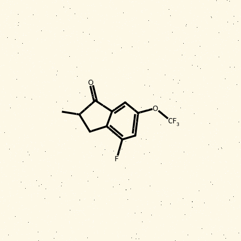 CC1Cc2c(F)cc(OC(F)(F)F)cc2C1=O